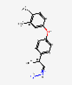 CSc1ccc(Oc2ccc(C([C]=O)/[C]=N\N)cc2)cc1C